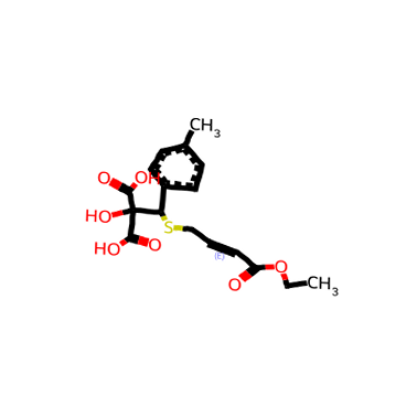 CCOC(=O)/C=C/CSC(c1ccc(C)cc1)C(O)(C(=O)O)C(=O)O